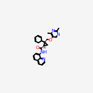 Cc1ncc(OC[C@@]2(C3C=CC=CC3)C[C@H]2C(=O)Nc2cccc3cccnc23)c(C)n1